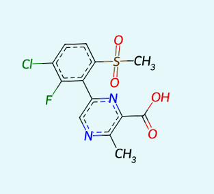 Cc1ncc(-c2c(S(C)(=O)=O)ccc(Cl)c2F)nc1C(=O)O